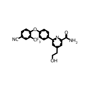 N#Cc1ccc(Oc2ccc(-c3cc(CCO)cc(C(N)=O)n3)cc2)c(C(F)(F)F)c1